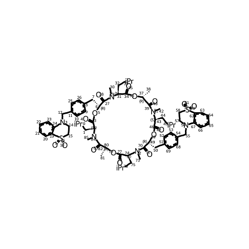 CC(C)C[C@H]1C(=O)O[C@H](Cc2ccc(CN3CCS(=O)(=O)c4ccccc43)cc2)C(=O)N(C)[C@@H](CC(C)C)C(=O)O[C@H](C)C(=O)N(C)[C@@H](CC(C)C)C(=O)O[C@H](Cc2ccc(CN3CCS(=O)(=O)c4ccccc43)cc2)C(=O)N(C)[C@@H](CC(C)C)C(=O)O[C@H](C)C(=O)N1C